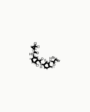 O=C(Nc1ccc(F)c(NC(=O)C(Br)Br)c1F)c1cc(NC(=O)[C@H]2CC2(Cl)Cl)ccc1Cl